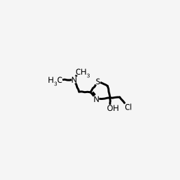 CN(C)CC1=NC(O)(CCl)CS1